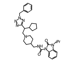 CC(C)n1c(=O)n(C(=O)NCC2CCN(CC(c3nnn(Cc4ccccc4)n3)C3CCCC3)CC2)c2ccccc21